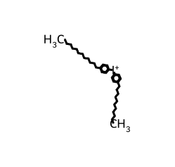 CCCCCCCCCCCCCc1ccc([I+]c2ccc(CCCCCCCCCCC)cc2)cc1